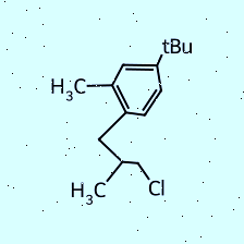 Cc1cc(C(C)(C)C)ccc1CC(C)CCl